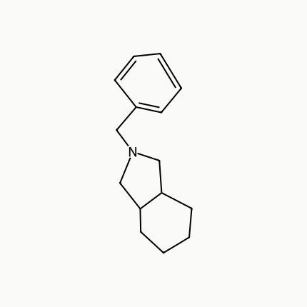 c1ccc(CN2CC3CCCCC3C2)cc1